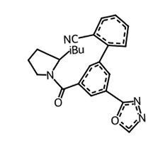 CCC(C)C1CCCN1C(=O)c1cc(-c2nnco2)cc(-c2ccccc2C#N)c1